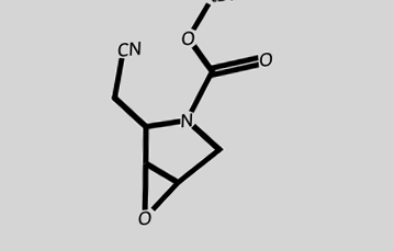 CC(C)(C)OC(=O)N1CC2OC2C1CC#N